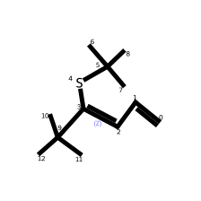 C=C/C=C(\SC(C)(C)C)C(C)(C)C